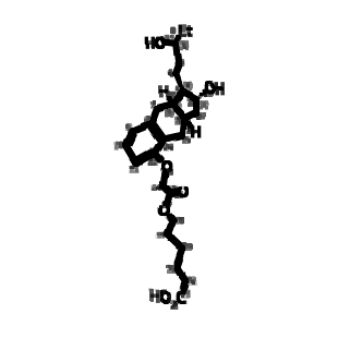 CC[C@H](O)CC[C@@H]1[C@H]2Cc3cccc(OCC(=O)OCCCCCC(=O)O)c3C[C@H]2C[C@H]1O